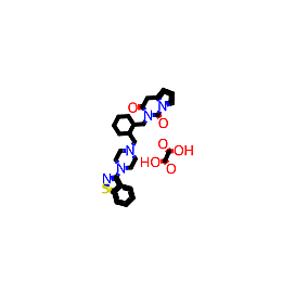 O=C(O)C(=O)O.O=C1Cc2cccn2C(=O)N1CC1CCCCC1CN1CCN(c2nsc3ccccc23)CC1